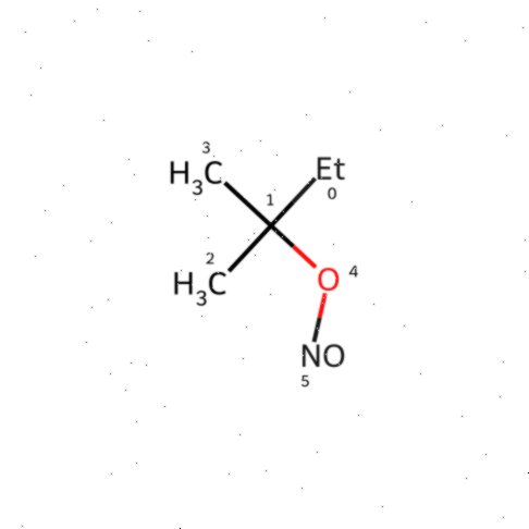 CCC(C)(C)ON=O